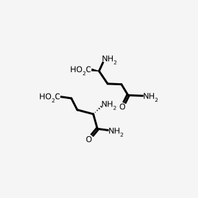 NC(=O)CC[C@H](N)C(=O)O.NC(=O)[C@@H](N)CCC(=O)O